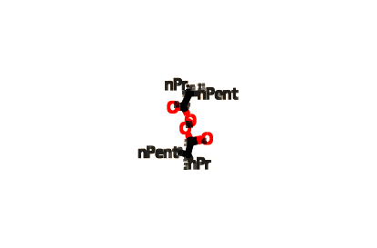 CCCCCC(CCC)C(=O)OOC(=O)C(CCC)CCCCC